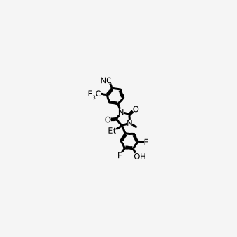 CCC1(c2cc(F)c(O)c(F)c2)C(=O)N(c2ccc(C#N)c(C(F)(F)F)c2)C(=O)N1C